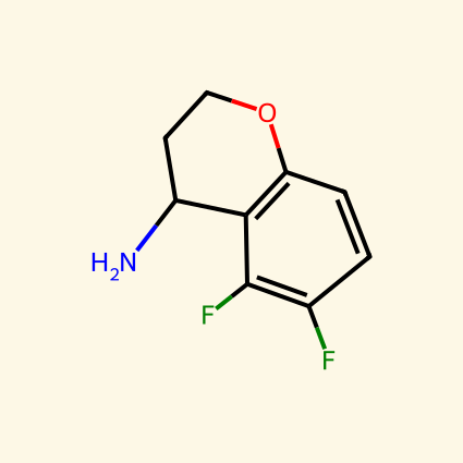 NC1CCOc2ccc(F)c(F)c21